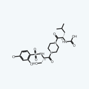 CC(C)C[C@H](NC(=O)O)C(=O)N1CCN(C(=O)[C@H](CO)NS(=O)(=O)c2ccc(Cl)cc2Cl)CC1